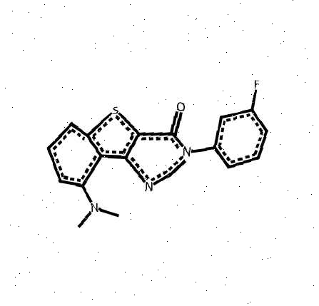 CN(C)c1cccc2sc3c(=O)n(-c4cccc(F)c4)cnc3c12